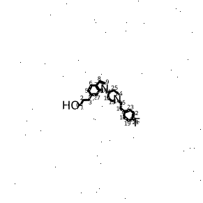 OCCCc1ccc2ccn(C3CCN(CCc4ccc(F)cc4)CC3)c2c1